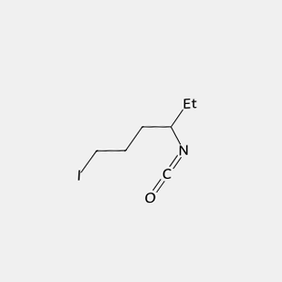 [CH2]CC(CCCI)N=C=O